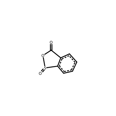 O=C1OS(=O)c2ccccc21